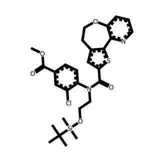 COC(=O)c1ccc(N(CCO[Si](C)(C)C(C)(C)C)C(=O)c2cc3c(s2)-c2ncccc2OCC3)c(Cl)c1